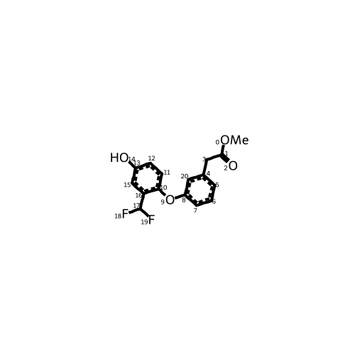 COC(=O)Cc1cccc(Oc2ccc(O)cc2C(F)F)c1